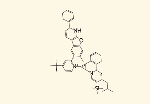 Cc1cc2oc3c(c2cc1-c1cc(C(C)(C)C)cc[n+]1C1=C2C4=C(CCC=C4)C4C=C(CC(C)C)C([Si](C)(C)C)=CN4C21)C=CC(C1=CC=CCC1)N3